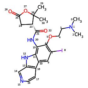 CN(C)CCOc1c(I)cc2c([nH]c3cnccc32)c1NC(=O)[C@@H]1CC(=O)OC1(C)C